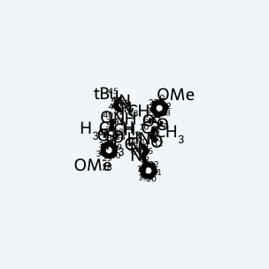 COc1ccc(S(=O)(=O)C(C)(C)C(=O)Nc2cc(-c3ccccc3)nn2C)cc1.COc1ccc(S(=O)(=O)C(C)(C)C(=O)Nc2cc(C(C)(C)C)nn2C)cc1